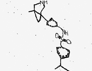 CC(C)c1ccc(S(=O)(=O)Nc2ccc(C34CNCC3(C)C4)cc2)cc1